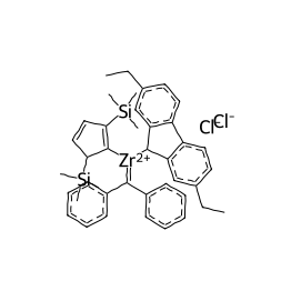 CCc1ccc2c(c1)[CH]([Zr+2]([C]1=C([Si](C)(C)C)C=CC1[Si](C)(C)C)=[C](c1ccccc1)c1ccccc1)c1cc(CC)ccc1-2.[Cl-].[Cl-]